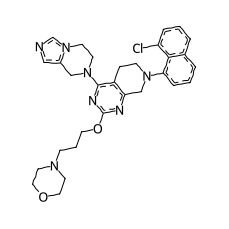 Clc1cccc2cccc(N3CCc4c(nc(OCCCN5CCOCC5)nc4N4CCn5cncc5C4)C3)c12